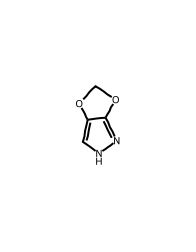 c1[nH]nc2c1OCO2